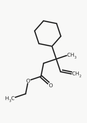 C=CC(C)(CC(=O)OCC)C1CCCCC1